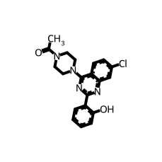 CC(=O)N1CCN(c2nc(-c3ccccc3O)nc3cc(Cl)ccc23)CC1